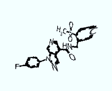 CS(=O)(=O)c1ccccc1CNC(=O)c1cncc2c1cnn2-c1ccc(F)cc1